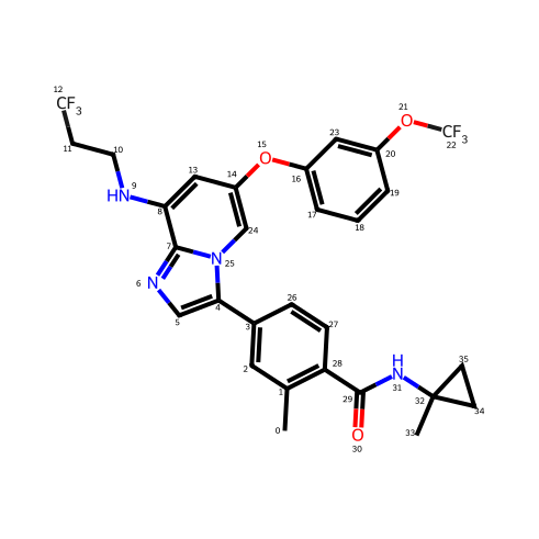 Cc1cc(-c2cnc3c(NCCC(F)(F)F)cc(Oc4cccc(OC(F)(F)F)c4)cn23)ccc1C(=O)NC1(C)CC1